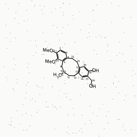 COc1ccc2c(c1OC)CN(C)CCc1cc(CO)c(O)cc1CC2